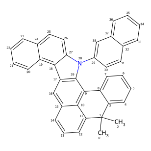 CC1(C)c2ccccc2-c2c3c1cccc3cc1c3c4ccccc4ccc3n(-c3ccc4ccccc4c3)c21